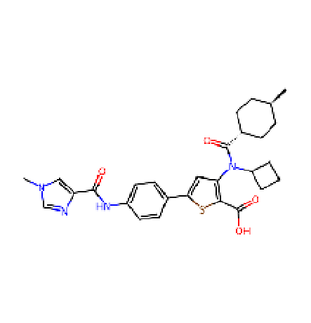 Cn1cnc(C(=O)Nc2ccc(-c3cc(N(C(=O)[C@H]4CC[C@H](C)CC4)C4CCC4)c(C(=O)O)s3)cc2)c1